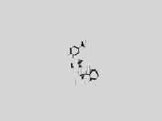 Cc1c(F)cc(C(=O)O)cc1-n1ccnc(NC2(c3ccccc3O)CC2)c1=O